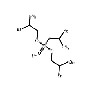 CCCCC(CC)COP(=O)(CC(CC)CCCC)OCC(CC)CCCC.[H+]